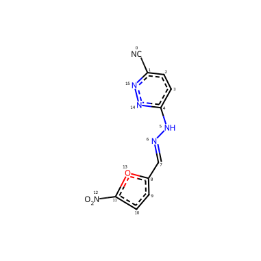 N#Cc1ccc(N/N=C/c2ccc([N+](=O)[O-])o2)nn1